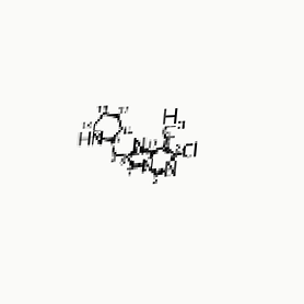 Cc1c(Cl)ncn2cc(C[C@@H]3CCCCN3)nc12